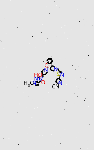 Cn1ccc2c(=O)n(CC3(O)CCN(C(=O)[C@@H]4CCN(Cc5cnc(-c6ccc(C#N)nc6)s5)C[C@H]4c4ccccc4)CC3)cnc21